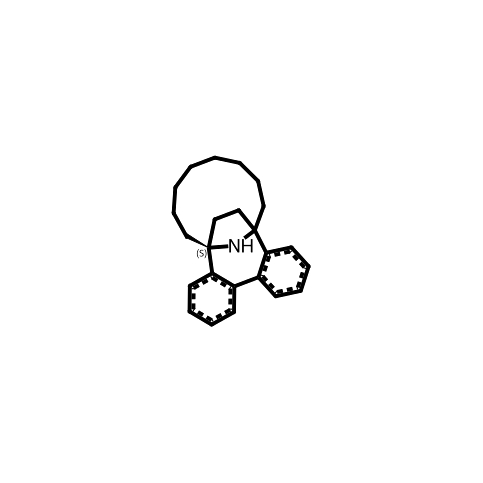 c1ccc2c(c1)-c1ccccc1[C@]13CCCCCCCCC2(CC1)N3